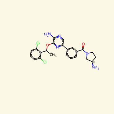 CC(Oc1nc(-c2cccc(C(=O)N3CC[C@@H](N)C3)c2)cnc1N)c1c(Cl)cccc1Cl